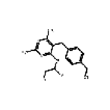 CCCC(CO)Nc1nc(N)nc(C)c1Cc1ccc(CC#N)cc1